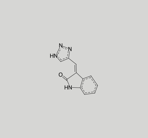 O=C1Nc2ccccc2/C1=C/c1c[nH]nn1